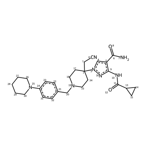 N#CCC1(n2cc(C(N)=O)c(NC(=O)C3CC3)n2)CCN(Cc2ccc(N3CCCCC3)cc2)CC1